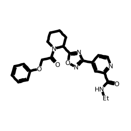 CCNC(=O)c1cc(-c2noc(C3CCCCN3C(=O)COc3ccccc3)n2)ccn1